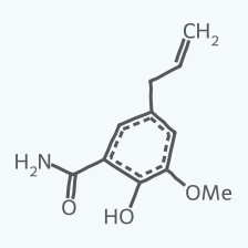 C=CCc1cc(OC)c(O)c(C(N)=O)c1